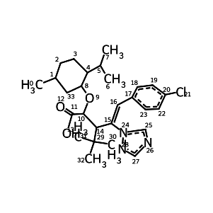 CC1CCC(C(C)C)C(OC(C(=O)O)C(C(=Cc2ccc(Cl)cc2)n2cncn2)C(C)(C)C)C1